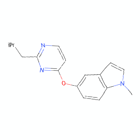 CC(C)Cc1nccc(Oc2ccc3c(ccn3C)c2)n1